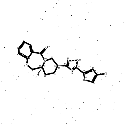 O=C1c2ccccc2SC[C@@H]2CC[C@H](c3noc(-c4cc(Cl)c[nH]4)n3)CN12